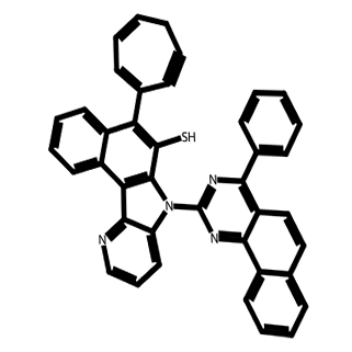 Sc1c(C2=CC=CCC#C2)c2ccccc2c2c3ncccc3n(-c3nc(-c4ccccc4)c4ccc5ccccc5c4n3)c12